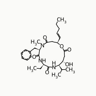 CCC/C=C/[C@@H]1CC(=O)N(C)[C@H](Cc2ccccc2)C(=O)N[C@H](CC)C(=O)N[C@H](C(C)C)[C@@H](O)CC(=O)O1